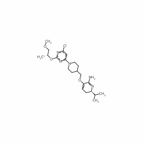 COC[C@@H](C)Oc1nc(Cl)cc(N2CCC(COC3=CC[C@H](C(C)C)N=C3N)CC2)n1